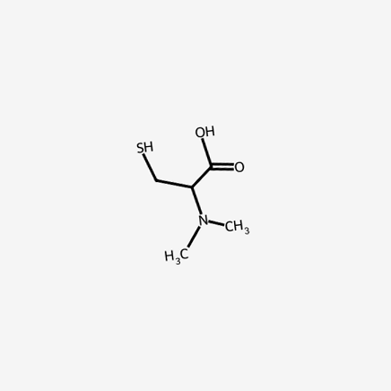 CN(C)C(CS)C(=O)O